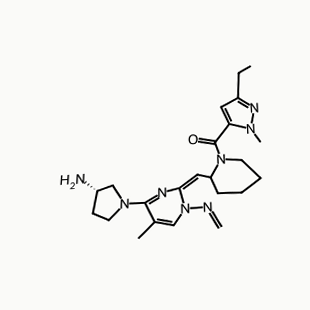 C=NN1C=C(C)C(N2CC[C@H](N)C2)=N/C1=C/C1CCCCN1C(=O)c1cc(CC)nn1C